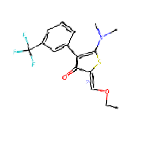 CCO/C=C1\SC(N(C)C)=C(c2cccc(C(F)(F)F)c2)C1=O